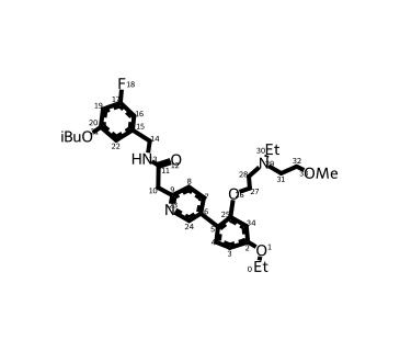 CCOc1ccc(-c2ccc(CC(=O)NCc3cc(F)cc(OCC(C)C)c3)nc2)c(OCCN(CC)CCOC)c1